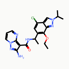 CCOc1c(C(C)NC(=O)c2c(N)nn3cccnc23)cc(Cl)c2cn(C(C)C)nc12